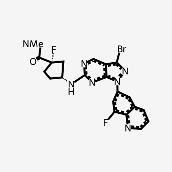 CNC(=O)[C@]1(F)CC[C@@H](Nc2ncc3c(Br)nn(-c4cc(F)c5ncccc5c4)c3n2)C1